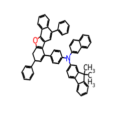 CC1(C)c2ccccc2-c2ccc(N(c3ccc(C4=CC(c5ccccc5)Cc5oc6c(cc(-c7ccccc7)c7ccccc76)c54)cc3)c3ccc4ccccc4c3)cc21